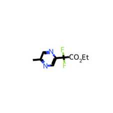 CCOC(=O)C(F)(F)c1cnc(C)cn1